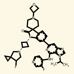 CC(C)n1cnc2cc(-c3ccc4c(c3)N([C@H]3C[C@@H](N5CC(F)C6(CC6)C5)C3)C(=O)C43CCN(C4COC4)CC3)nc(Nc3ccncc3F)c21